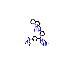 C=C(c1ccc([C@@H](c2cccc(NCc3ccc4ccccc4n3)c2)N2CCNCC2)cc1)N(CC)CC